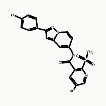 CCc1ccc(-c2cc3cc(NC(=O)c4cc(C#N)cnc4S(C)(=O)=O)ccn3n2)cc1